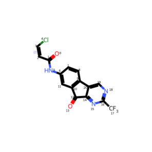 O=C(/C=C\Cl)Nc1ccc2c(c1)C(=O)c1nc(C(F)(F)F)ncc1-2